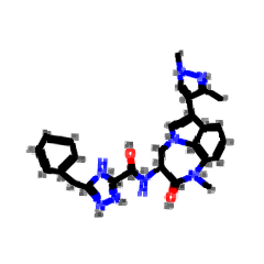 Cc1nn(C)cc1-c1cn2c3c(cccc13)N(C)C(=O)[C@@H](NC(=O)c1nnc(Cc3ccccc3)[nH]1)C2